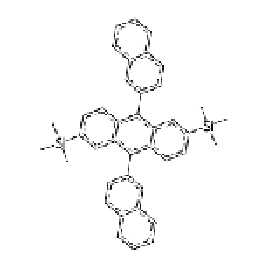 C[Si](C)(C)c1ccc2c(-c3ccc4ccccc4c3)c3cc([Si](C)(C)C)ccc3c(-c3ccc4ccccc4c3)c2c1